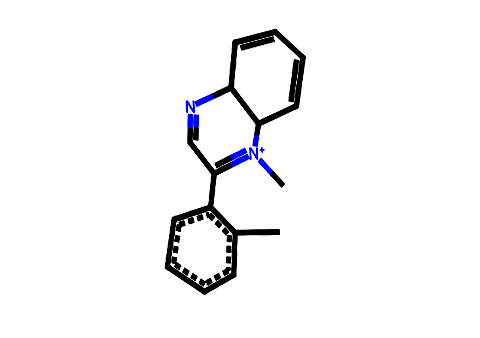 Cc1ccccc1C1=[N+](C)C2C=CC=CC2N=C1